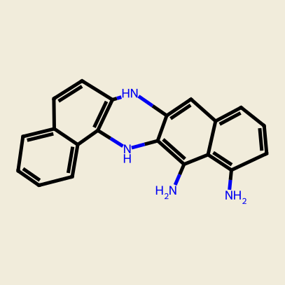 Nc1cccc2cc3c(c(N)c12)Nc1c(ccc2ccccc12)N3